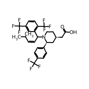 CC(C)/C=C\C(c1cc(C(F)(F)F)ccc1C(F)(F)F)N1CC[C@@H](CC(=O)O)C[C@H]1c1ccc(C(F)(F)F)cc1